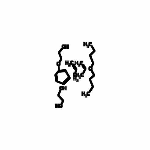 C=CC.C=CC.CCCCOCCCC.OCCO.OCCOc1ccccc1